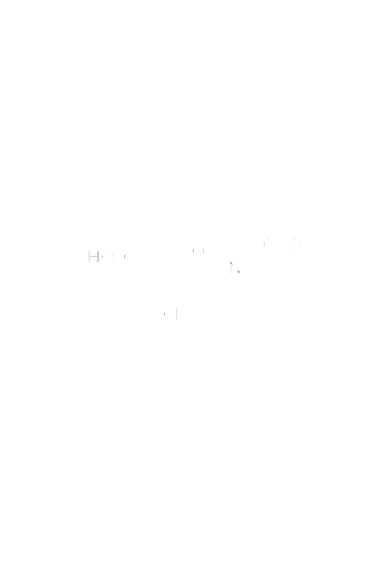 CC(ONC=O)C(=O)O